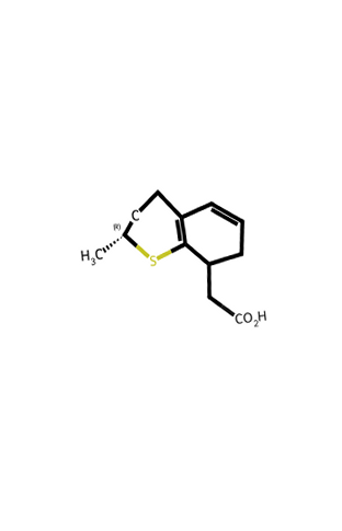 C[C@@H]1CCC2=C(S1)C(CC(=O)O)CC=C2